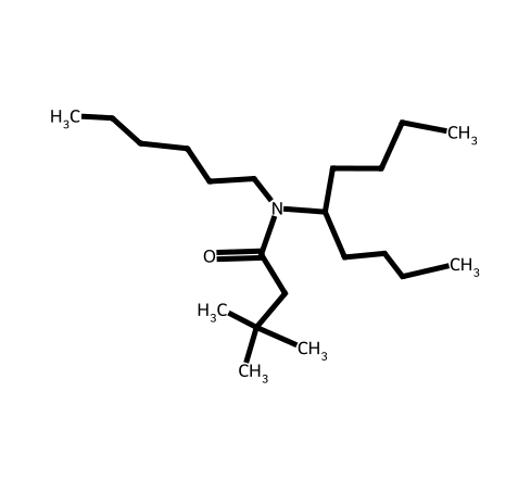 CCCCCCN(C(=O)CC(C)(C)C)C(CCCC)CCCC